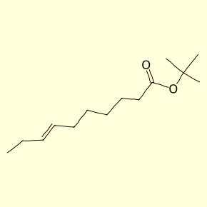 CCC=CCCCCCC(=O)OC(C)(C)C